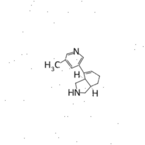 Cc1cncc(C2=CCC[C@H]3CNC[C@@H]23)c1